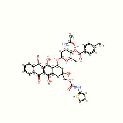 C[C@H]1O[C@@H](O[C@H]2CC(O)(COC(=O)Nc3cccs3)Cc3c(O)c4c(c(O)c32)C(=O)c2ccccc2C4=O)C[C@H](NC(=O)C(F)(F)F)[C@H]1OC(=O)c1ccc([N+](=O)[O-])cc1